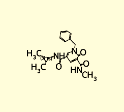 CNC(=O)c1cc(C(=O)N[C@H]2C(C)[C@@H]2C)cn(Cc2ccccc2)c1=O